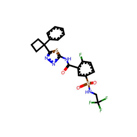 O=C(Nc1nnc(C2(c3ccccc3)CCC2)s1)c1cc(S(=O)(=O)NCC(F)(F)F)ccc1F